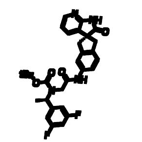 C[C@H](c1cc(F)cc(F)c1)N(CC(=O)Nc1ccc2c(c1)C[C@@]1(C2)C(=O)Nc2ncccc21)C(=O)OC(C)(C)C